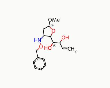 C=CC(O)[C@@H](O)C1O[C@H](OC)CC1NOCc1ccccc1